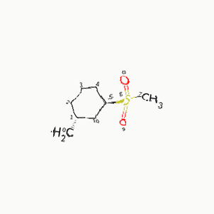 [CH2][C@@H]1CCC[C@@H](S(C)(=O)=O)C1